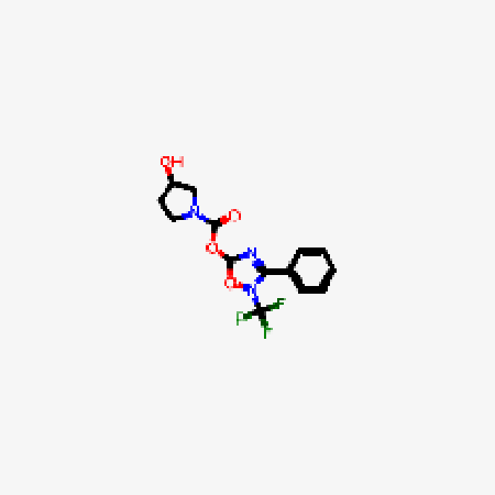 O=C(OC1N=C(c2ccccc2)N(C(F)(F)F)O1)N1CCC(O)C1